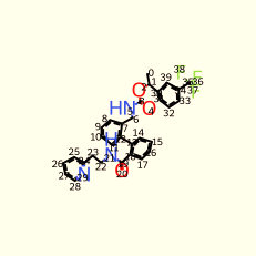 CC(OC(=O)NCc1ccccc1-c1ccccc1C(=O)NCCc1ccccn1)c1cccc(C(F)(F)F)c1